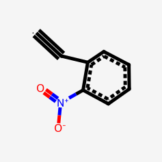 [C]#Cc1ccccc1[N+](=O)[O-]